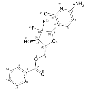 Nc1ccn([C@@H]2O[C@H](COC(=O)c3ccccc3)[C@@H](O)C2(F)F)c(=O)n1